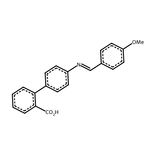 COc1ccc(C=Nc2ccc(-c3ccccc3C(=O)O)cc2)cc1